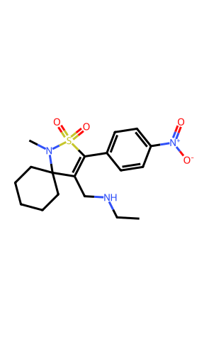 CCNCC1=C(c2ccc([N+](=O)[O-])cc2)S(=O)(=O)N(C)C12CCCCC2